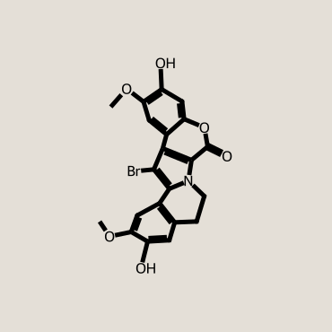 COc1cc2c(cc1O)CCn1c-2c(Br)c2c3cc(OC)c(O)cc3oc(=O)c21